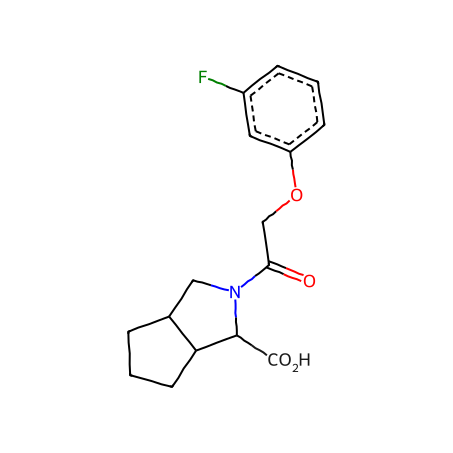 O=C(O)C1C2CCCC2CN1C(=O)COc1cccc(F)c1